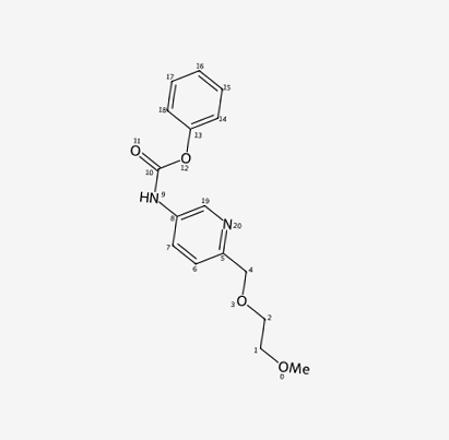 COCCOCc1ccc(NC(=O)Oc2ccccc2)cn1